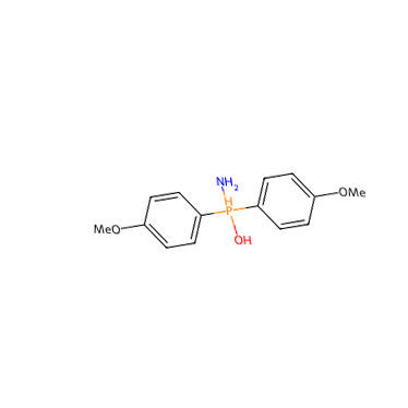 COc1ccc([PH](N)(O)c2ccc(OC)cc2)cc1